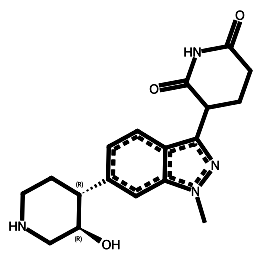 Cn1nc(C2CCC(=O)NC2=O)c2ccc([C@H]3CCNC[C@@H]3O)cc21